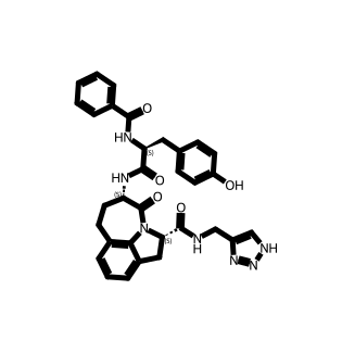 O=C(N[C@@H](Cc1ccc(O)cc1)C(=O)N[C@H]1CCc2cccc3c2N(C1=O)[C@H](C(=O)NCc1c[nH]nn1)C3)c1ccccc1